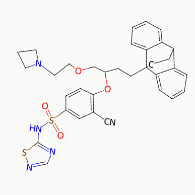 N#Cc1cc(S(=O)(=O)Nc2ncns2)ccc1OC(CCC12CCC(c3ccccc31)c1ccccc12)COCCN1CCC1